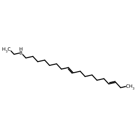 CCBCCCCCCC/C=C/CCCCC/C=C/CC